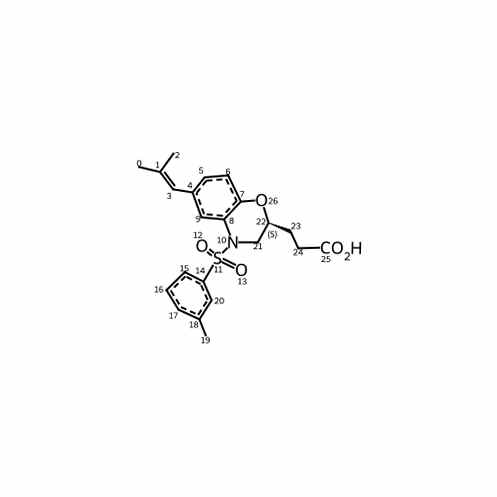 CC(C)=Cc1ccc2c(c1)N(S(=O)(=O)c1cccc(C)c1)C[C@H](CCC(=O)O)O2